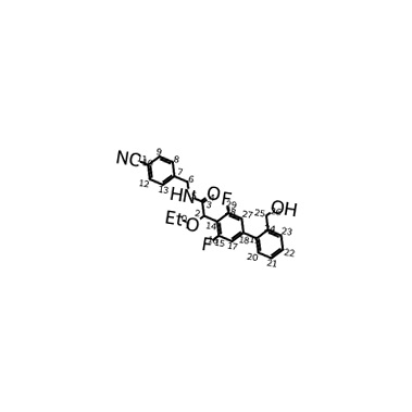 CCOC(C(=O)NCc1ccc(C#N)cc1)c1c(F)cc(-c2ccccc2CO)cc1F